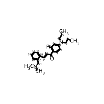 CCCN(CCC)c1ccc(C(=O)/C=C/c2ccccc2CN(C)C)c(F)c1